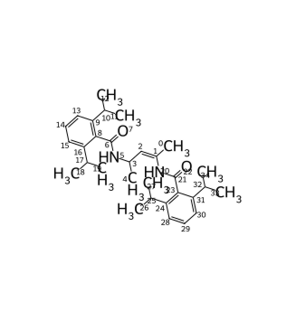 CC(=CC(C)NC(=O)c1c(C(C)C)cccc1C(C)C)NC(=O)c1c(C(C)C)cccc1C(C)C